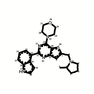 CC1CCCN1Cc1cc2nc(-c3cccc4[nH]ccc34)nc(N3CCOCC3)c2s1